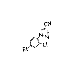 CCc1ccc(-n2cc(C#N)cn2)c(Cl)c1